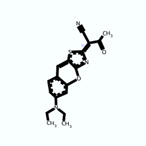 CCN(CC)c1ccc2c(c1)Oc1n/c(=C(/C#N)C(C)=O)sc1=C2